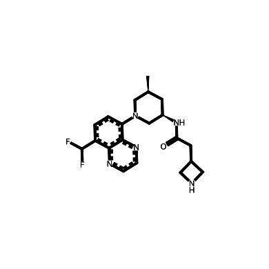 C[C@H]1C[C@@H](NC(=O)CC2CNC2)CN(c2ccc(C(F)F)c3nccnc23)C1